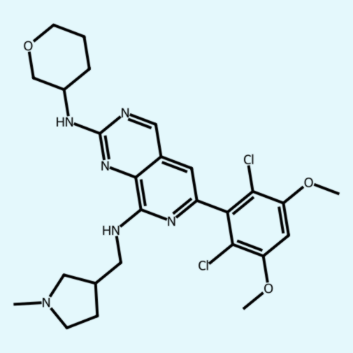 COc1cc(OC)c(Cl)c(-c2cc3cnc(NC4CCCOC4)nc3c(NCC3CCN(C)C3)n2)c1Cl